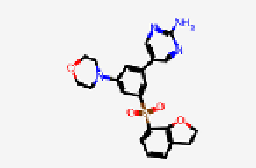 Nc1ncc(-c2cc(N3CCOCC3)cc(S(=O)(=O)c3cccc4c3OCC4)c2)cn1